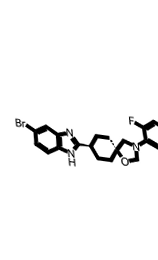 Fc1ccccc1N1CO[C@]2(CC[C@H](c3nc4cc(Br)ccc4[nH]3)CC2)C1